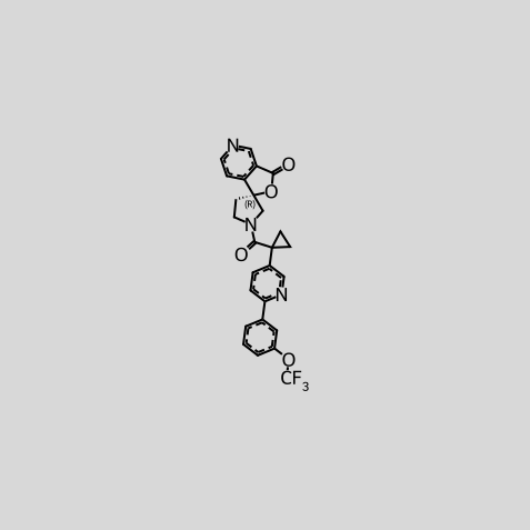 O=C1O[C@]2(CCN(C(=O)C3(c4ccc(-c5cccc(OC(F)(F)F)c5)nc4)CC3)C2)c2ccncc21